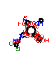 CON=C1C[C@@H](C)O[C@@H](O[C@@H]2[C@@H](C)[C@H](O[C@H]3CC(C)N(CCNCc4cc(Cl)cc(Cl)c4O)C[C@H](C)O3)[C@@H](C)C(=O)O[C@H]([C@@H](C)CO[C@@H]3O[C@H](C)[C@@H](O)[C@@H](OC)[C@H]3OC)[C@H](C)[C@@H](OC(=O)CC(C)C)[C@@H](C)C(=O)[C@@](C)(OC(=O)NCc3ccccc3)C[C@@H]2C)[C@@H]1O